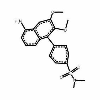 COc1cc2c(N)cccc2c(-c2ccc(S(=O)(=O)N(C)C)cc2)c1OC